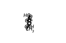 CC(=O)NC1CCC2=C(CC1)C(=O)C(CC(=O)O)C=C2